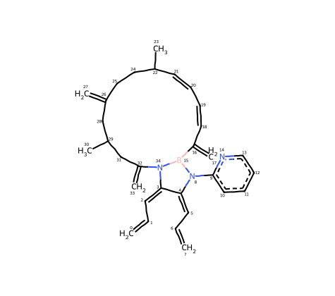 C=C/C=C1\C(=C/C=C)N(c2ccccn2)B2C(=C)/C=C\C=C/C(C)CCC(=C)CC(C)CC(=C)N21